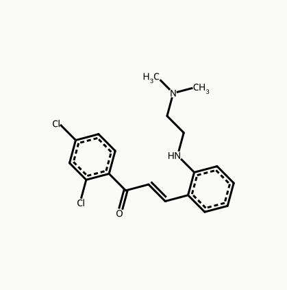 CN(C)CCNc1ccccc1C=CC(=O)c1ccc(Cl)cc1Cl